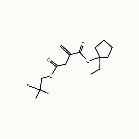 C=C(CC(=O)OCC(C)(F)F)C(=O)OC1(CC)CCCC1